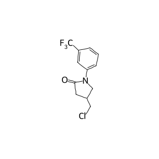 O=C1CC(CCl)CN1c1cccc(C(F)(F)F)c1